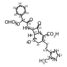 Cn1nnnc1SCC1=C(C(=O)O)N2C(=O)C(NC(=O)C(OC=O)c3ccccc3)[C@@H]2[S+]([O-])C1